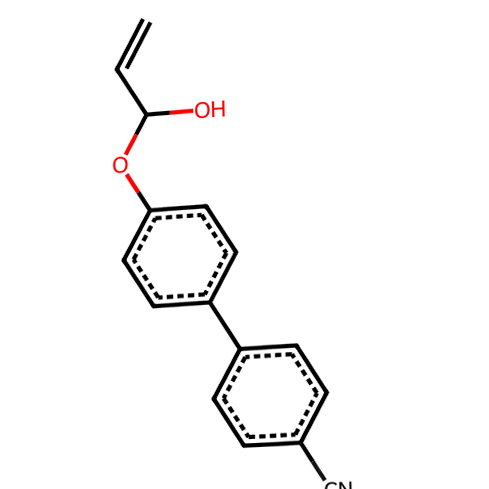 C=CC(O)Oc1ccc(-c2ccc(C#N)cc2)cc1